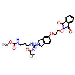 CC(C)(C)OC(=O)NCCCN/C(=N\C(=O)C(F)(F)F)N1Cc2ccc(OCCON3C(=O)c4ccccc4C3=O)cc2C1